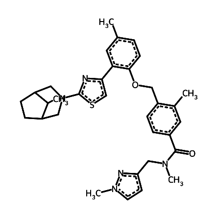 Cc1ccc(OCc2ccc(C(=O)N(C)Cc3ccn(C)n3)cc2C)c(-c2csc(N3CC4CCC(C3)C4C)n2)c1